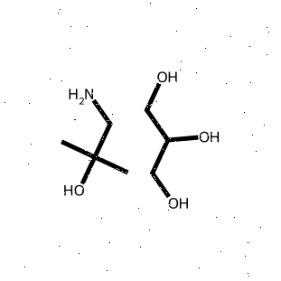 CC(C)(O)CN.OCC(O)CO